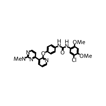 CNc1nccc(-c2cccnc2Oc2ccc(NC(=O)Nc3cc(Cl)c(OC)cc3OC)cc2)n1